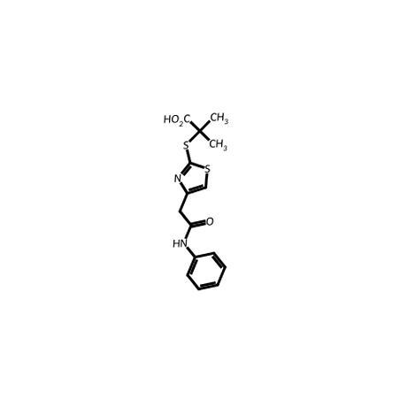 CC(C)(Sc1nc(CC(=O)Nc2ccccc2)cs1)C(=O)O